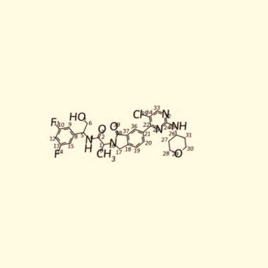 CC(C(=O)NC(CO)c1cc(F)cc(F)c1)N1Cc2ccc(-c3nc(NC4CCOCC4)ncc3Cl)cc2C1=O